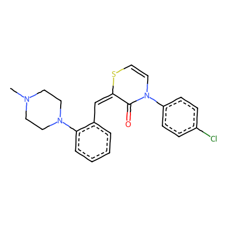 CN1CCN(c2ccccc2/C=C2/SC=CN(c3ccc(Cl)cc3)C2=O)CC1